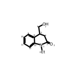 CCN1C(=O)CC(CO)c2ccccc21